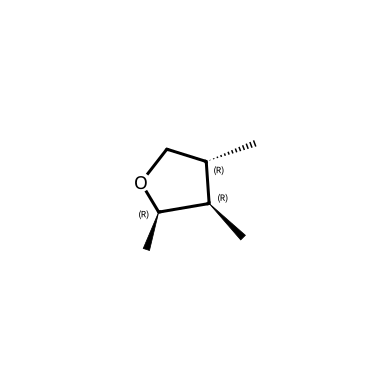 C[C@@H]1[C@@H](C)CO[C@@H]1C